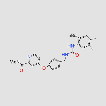 CCCCc1cc(C)c(C)cc1NC(=O)NCc1ccc(Oc2ccnc(C(=O)NC)c2)cc1